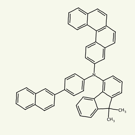 CC1(C)c2ccccc2-c2c(N(c3ccc(-c4ccc5ccccc5c4)cc3)c3ccc4c(ccc5ccc6ccccc6c54)c3)cccc21